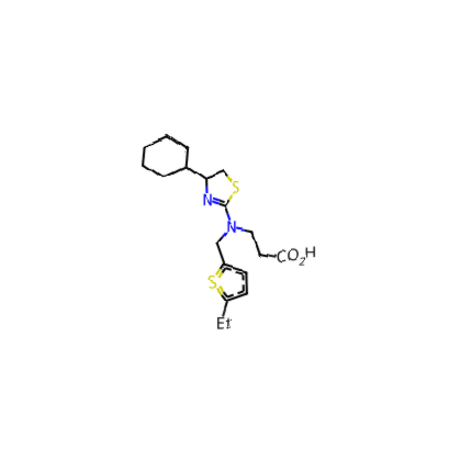 CCc1ccc(CN(CCC(=O)O)C2=NC(C3CCCCC3)CS2)s1